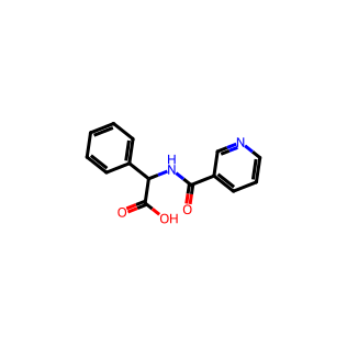 O=C(NC(C(=O)O)c1ccccc1)c1cccnc1